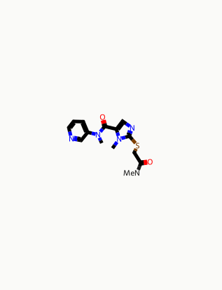 CNC(=O)CSc1ncc(C(=O)N(C)c2cccnc2)n1C